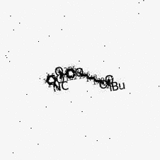 [C-]#[N+]c1ccccc1OC(=O)c1ccc(OCCCCCCOC(=O)C(C)CC)cc1